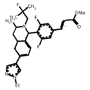 CCn1cc(C2=CC=C3C(C2)CC(C)N(CC(C)(C)F)C3c2c(F)cc(/C=C/C(=O)OC)cc2F)cn1